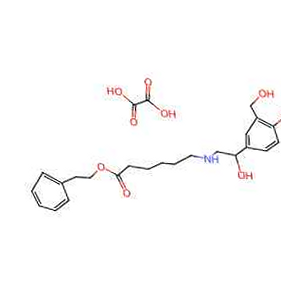 O=C(CCCCCNCC(O)c1ccc(O)c(CO)c1)OCCc1ccccc1.O=C(O)C(=O)O